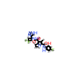 Cc1c(C(=O)C(=O)NC2(c3c[nH]nn3)CC(F)(F)C2)c2n(c1C(O)Nc1ccc(F)cc1)CCC2